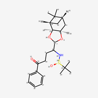 CC1(C)[C@@H]2C[C@H]3OB(C(CCC(=O)c4ccccc4)N[S@+]([O-])C(C)(C)C)O[C@@]3(C)[C@H]1C2